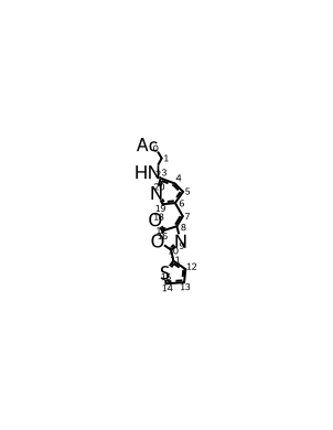 CC(=O)CNc1ccc(C=C2N=C(c3cccs3)OC2=O)cn1